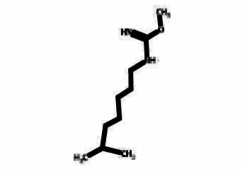 COC(=N)NCCCCCC(C)C